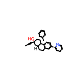 CC#C[C@@]1(O)CC[C@@]2(Cc3ccccc3)c3ccc(-c4ccccn4)cc3CC[C@@H]2C1